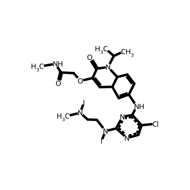 CNC(=O)COC1=CC2C=C(Nc3nc(N(I)CCN(C)I)ncc3Cl)C=CC2N(C(C)C)C1=O